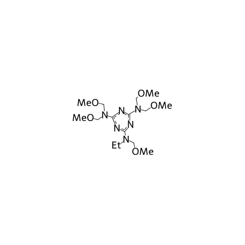 CCN(COC)c1nc(N(COC)COC)nc(N(COC)COC)n1